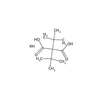 CC(C)(C)C(C(=O)O)(C(=O)O)C(C)(C)C.[KH]